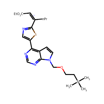 CCC/C(=C/C(=O)OCC)c1ncc(-c2ncnc3c2ccn3COCC[Si](C)(C)C)s1